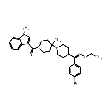 CCON=C(c1ccc(Br)cc1)C1CCN(C2(C)CCN(C(=O)c3cn(C)c4ccccc34)CC2)CC1